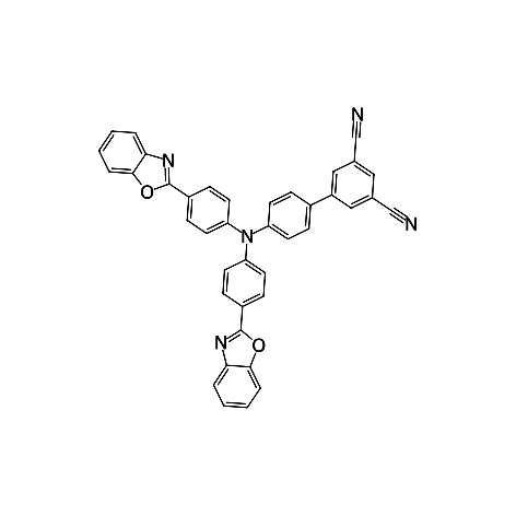 N#Cc1cc(C#N)cc(-c2ccc(N(c3ccc(-c4nc5ccccc5o4)cc3)c3ccc(-c4nc5ccccc5o4)cc3)cc2)c1